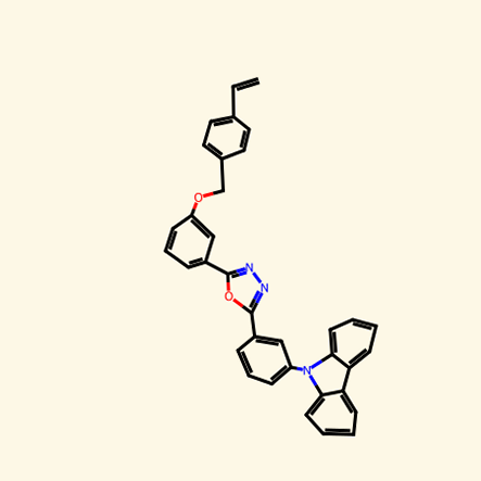 C=Cc1ccc(COc2cccc(-c3nnc(-c4cccc(-n5c6ccccc6c6ccccc65)c4)o3)c2)cc1